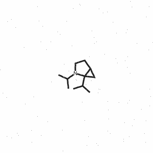 CC(C)N1CCC2CC21C(C)C